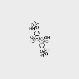 CN(C)S(=O)(=O)Nc1ccc(C=Cc2ccc(NS(=O)(=O)N(C)C)cc2S(=O)(=O)O)c(S(=O)(=O)O)c1